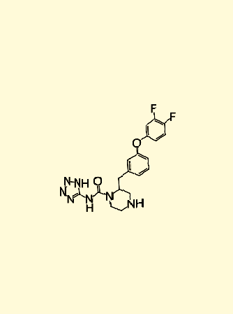 O=C(Nc1nnn[nH]1)N1CCNCC1Cc1cccc(Oc2ccc(F)c(F)c2)c1